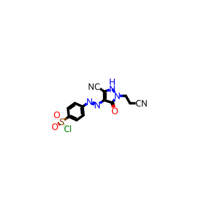 N#CCCn1[nH]c(C#N)c(N=Nc2ccc(S(=O)(=O)Cl)cc2)c1=O